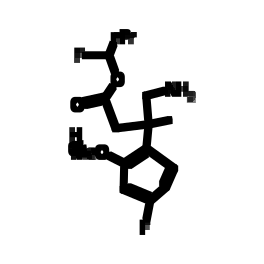 CCCC(F)OC(=O)CC(C)(CN)c1ccc(F)cc1OC.Cl